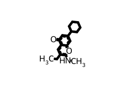 CCc1cc2c(=O)cc(C3CCCCC3)cc-2oc1NC